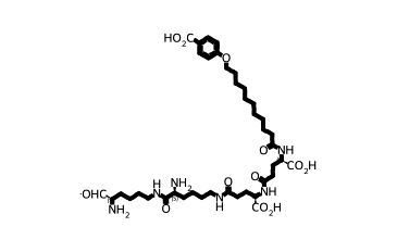 N[C@H]([C]=O)CCCCNC(=O)[C@@H](N)CCCCNC(=O)CC[C@H](NC(=O)CC[C@H](NC(=O)CCCCCCCCCCOc1ccc(C(=O)O)cc1)C(=O)O)C(=O)O